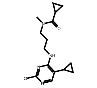 CN(CCCNc1nc(Cl)ncc1C1CC1)C(=O)C1CC1